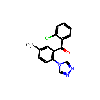 O=C(c1ccccc1Cl)c1cc([N+](=O)[O-])ccc1-n1cnnc1